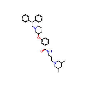 CC1CC(C)CN(CCCNC(=O)c2cccc(OC3CCCN(CC(c4ccccc4)c4ccccc4)C3)c2)C1